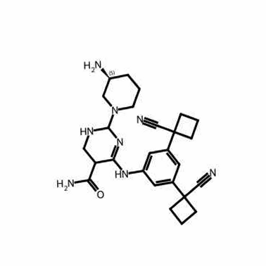 N#CC1(c2cc(NC3=NC(N4CCC[C@H](N)C4)NCC3C(N)=O)cc(C3(C#N)CCC3)c2)CCC1